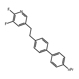 CCCc1ccc(-c2ccc(CCc3cnc(F)c(F)c3)cc2)cc1